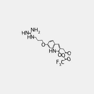 N=C(N)NCCCOc1ccc2cc(CC(=O)OC(=O)C(F)(F)F)c(=O)[nH]c2c1